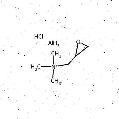 C[N+](C)(C)CC1CO1.Cl.[AlH3]